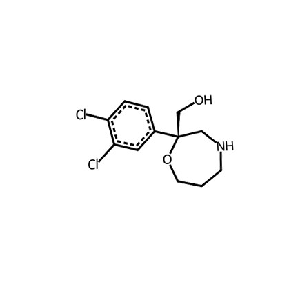 OC[C@@]1(c2ccc(Cl)c(Cl)c2)CNCCCO1